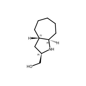 OC[C@H]1C[C@@H]2CCCCC[C@H]2N1